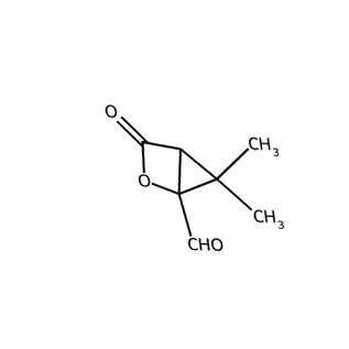 CC1(C)C2C(=O)OC21C=O